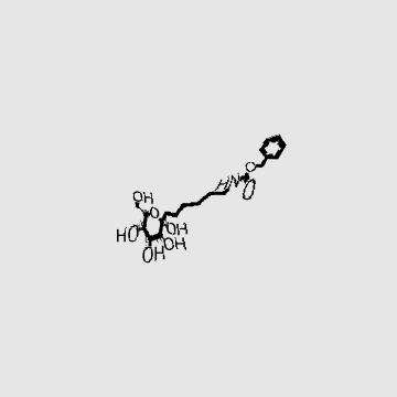 O=C(NCCCCCC[C@]1(O)O[C@H](CO)[C@@H](O)[C@H](O)[C@H]1O)OCc1ccccc1